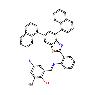 CC(C)(C)c1cc(I)cc(/C=N/c2ccccc2-c2nc3c(-c4cccc5ccccc45)cc(-c4cccc5ccccc45)cc3s2)c1O